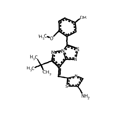 COc1ccc(O)cc1-c1nnc2/c(=C\c3ncc(N)s3)c(C(C)(C)C)nn12